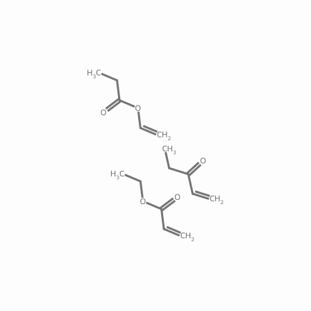 C=CC(=O)CC.C=CC(=O)OCC.C=COC(=O)CC